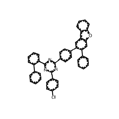 Clc1ccc(-c2nc(-c3ccc(-c4cc5c(cc4-c4ccccc4)oc4ccccc45)cc3)nc(-c3ccccc3-c3ccccc3)n2)cc1